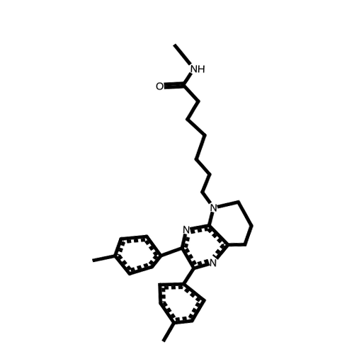 CNC(=O)CCCCCCN1CCCc2nc(-c3ccc(C)cc3)c(-c3ccc(C)cc3)nc21